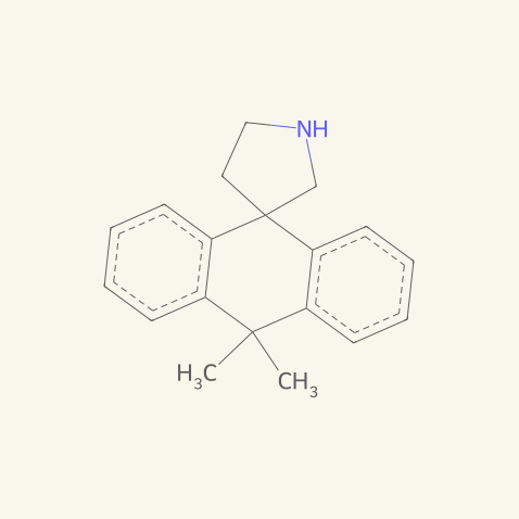 CC1(C)c2ccccc2C2(CCNC2)c2ccccc21